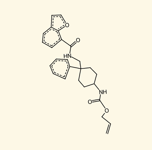 C=CCOC(=O)NC1CCC(CNC(=O)c2cccc3ccoc23)(c2ccccc2)CC1